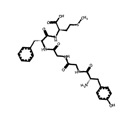 CSCC[C@@H](NC(=O)[C@@H](Cc1ccccc1)NC(=O)CNC(=O)CNC(=O)[C@@H](N)Cc1ccc(O)cc1)C(=O)O